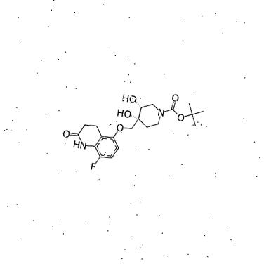 CC(C)(C)OC(=O)N1CC[C@@](O)(COc2ccc(F)c3c2CCC(=O)N3)[C@H](O)C1